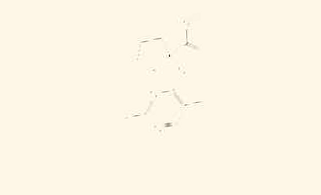 CNC(=O)C1(Nc2nc(Cl)ncc2Cl)CCCC1